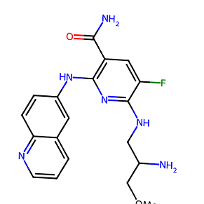 COCC(N)CNc1nc(Nc2ccc3ncccc3c2)c(C(N)=O)cc1F